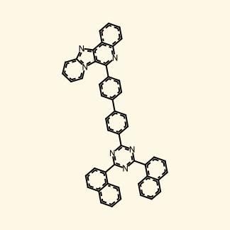 c1ccc2c(-c3nc(-c4ccc(-c5ccc(-c6nc7ccccc7c7nc8ccccn8c67)cc5)cc4)nc(-c4cccc5ccccc45)n3)cccc2c1